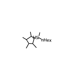 CCCCCC[SiH](C)C1C(C)C(C)C(C)C1C